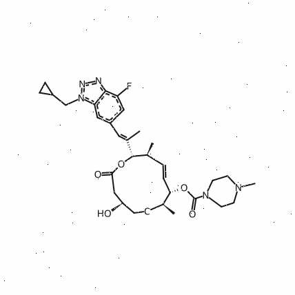 C/C(=C\c1cc(F)c2nnn(CC3CC3)c2c1)[C@H]1OC(=O)C[C@H](O)CC[C@H](C)[C@@H](OC(=O)N2CCN(C)CC2)/C=C/[C@@H]1C